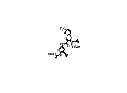 COCC(C1CC1)N(Cc1ccc(C(F)(F)F)cn1)C(=O)C(=O)Nc1cnc(NC(=O)OC(C)(C)C)c(C2CC2)c1